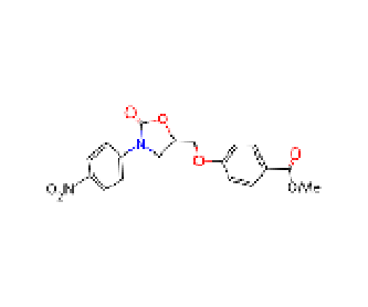 COC(=O)c1ccc(OCC2CN(c3ccc([N+](=O)[O-])cc3)C(=O)O2)cc1